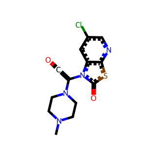 CN1CCN(C(=C=O)n2c(=O)sc3ncc(Cl)cc32)CC1